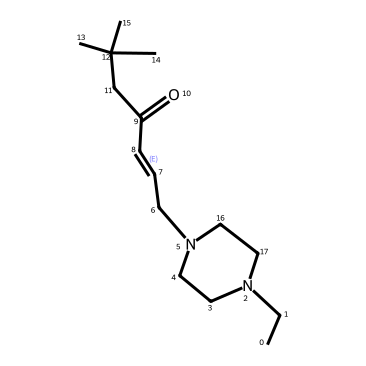 CCN1CCN(C/C=C/C(=O)CC(C)(C)C)CC1